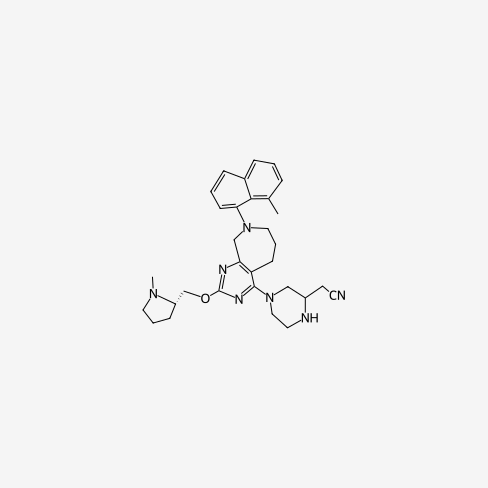 Cc1cccc2cccc(N3CCCc4c(nc(OC[C@@H]5CCCN5C)nc4N4CCNC(CC#N)C4)C3)c12